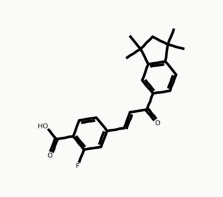 CC1(C)CC(C)(C)c2cc(C(=O)/C=C/c3ccc(C(=O)O)c(F)c3)ccc21